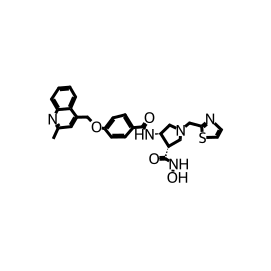 Cc1cc(COc2ccc(C(=O)N[C@@H]3CN(Cc4nccs4)C[C@@H]3C(=O)NO)cc2)c2ccccc2n1